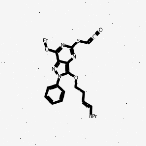 CCCC=CCCOc1c2nc(SC=C=O)nc(OCC)c2nn1-c1ccccc1